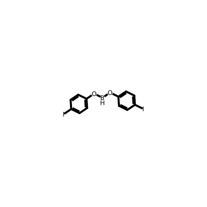 Ic1ccc(OBOc2ccc(I)cc2)cc1